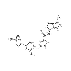 Cc1nc(N2CCC(C)(C)C2)ccc1Cn1cc(C(=O)NC2CCc3c2n[nH]c3C)cn1